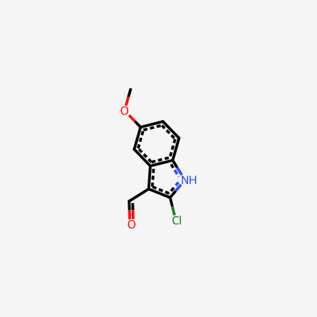 COc1ccc2[nH]c(Cl)c(C=O)c2c1